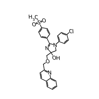 CS(=O)(=O)c1ccc(C2=NC(O)(COCc3ccc4ccccc4n3)CN2c2ccc(Cl)cc2)cc1